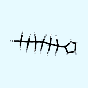 FC(F)(F)C(F)(F)C(F)(F)C(F)(F)C(F)(F)C(F)(F)C1COCO1